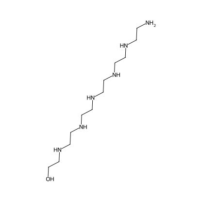 NCCNCCNCCNCCNCCNCCO